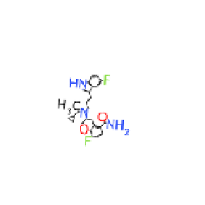 CC(C1CC1)N(CCCc1c[nH]c2ccc(F)cc12)C1COc2c(F)ccc(C(N)=O)c2C1